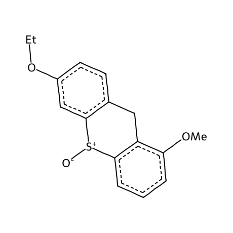 CCOc1ccc2c(c1)[S+]([O-])c1cccc(OC)c1C2